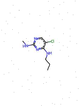 CCCNc1nc(NC)ncc1Cl